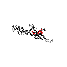 CC[N+]1(N2CCN(C(=O)C(C)(C)N)CC2)CCN([N+]2(CCOC)CCN(N3CC[N]C(N4CCN(C)CC4)(N4CCN(CC(=O)O)CC4)C3(N3CCN(CCO)CC3)N3CCN(C(C)C)CC3)CC2)CC1